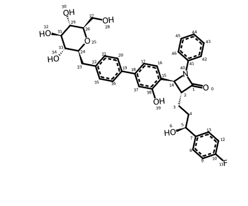 O=C1[C@H](CC[C@H](O)c2ccc(F)cc2)[C@@H](c2ccc(-c3ccc(C[C@@H]4O[C@H](CO)[C@@H](O)[C@H](O)[C@H]4O)cc3)cc2O)N1c1ccccc1